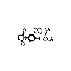 O=C(O)c1ccc(N2C(=O)CCC2=O)cc1C(=O)O